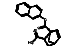 O=C(O)C1CC2C=CC1(C(=O)Oc1ccc3ccccc3c1)C2